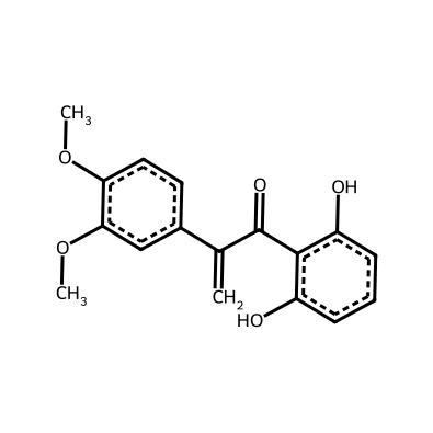 C=C(C(=O)c1c(O)cccc1O)c1ccc(OC)c(OC)c1